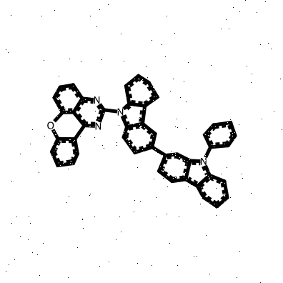 c1ccc(-n2c3ccccc3c3ccc(-c4ccc5c(c4)c4ccccc4n5-c4nc5c6c(cccc6n4)Oc4ccccc4-5)cc32)cc1